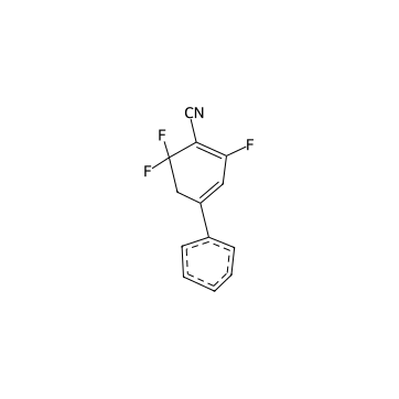 N#CC1=C(F)C=C(c2ccccc2)CC1(F)F